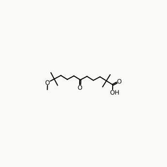 COC(C)(C)CCCC(=O)CCCC(C)(C)C(=O)O